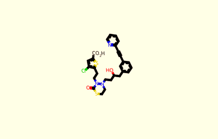 O=C(O)c1cc(Cl)c(CCN2C(=O)SCCN2CCC(O)Cc2cccc(C#Cc3ccccn3)c2)s1